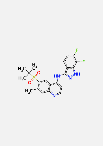 Cc1cc2nccc(Nc3n[nH]c4c(F)c(F)ccc34)c2cc1S(=O)(=O)C(C)(C)C